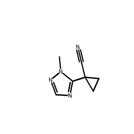 Cn1ncnc1C1(C#N)CC1